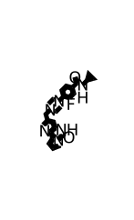 O=C(NC1CC1)c1ccc(N2CCN(Cc3cnc4c(c3)[nH]c(=O)n3cccc43)CC2)c(F)c1